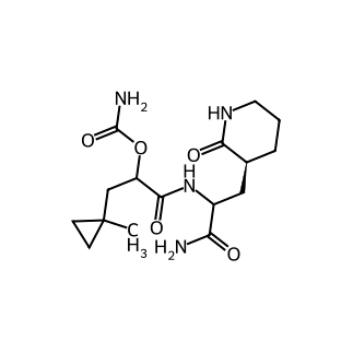 CC1(CC(OC(N)=O)C(=O)NC(C[C@@H]2CCCNC2=O)C(N)=O)CC1